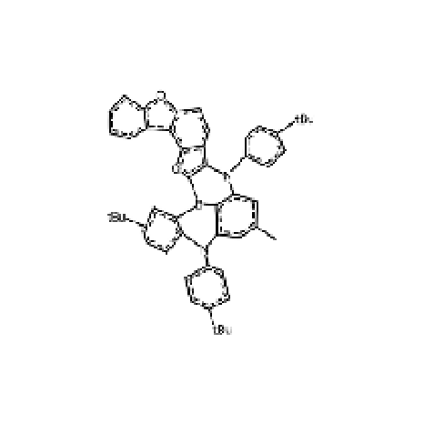 Cc1cc2c3c(c1)N(c1ccc(C(C)(C)C)cc1)c1c(oc4c1ccc1oc5ccccc5c14)B3c1cc(C(C)(C)C)ccc1N2c1ccc(C(C)(C)C)cc1